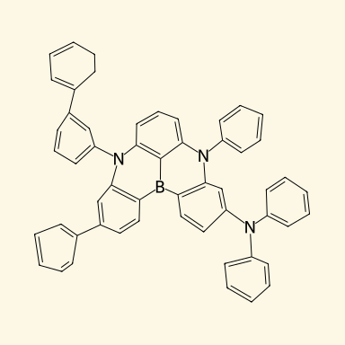 C1=CCCC(c2cccc(N3c4cc(-c5ccccc5)ccc4B4c5ccc(N(c6ccccc6)c6ccccc6)cc5N(c5ccccc5)c5cccc3c54)c2)=C1